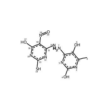 Cc1nc(O)nc(N)c1O.Nc1nc(S)nc(O)c1N=O